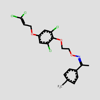 CC(=NOCCOc1c(Cl)cc(OCC=C(Cl)Cl)cc1Cl)c1ccc(C(F)(F)F)cc1